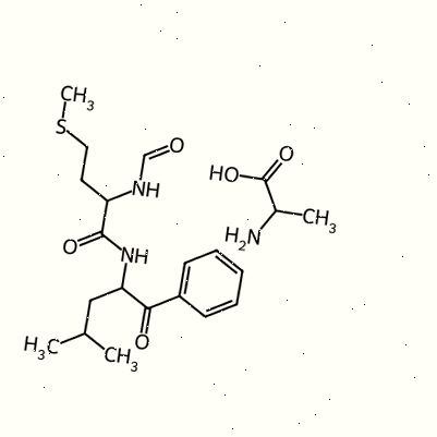 CC(N)C(=O)O.CSCCC(NC=O)C(=O)NC(CC(C)C)C(=O)c1ccccc1